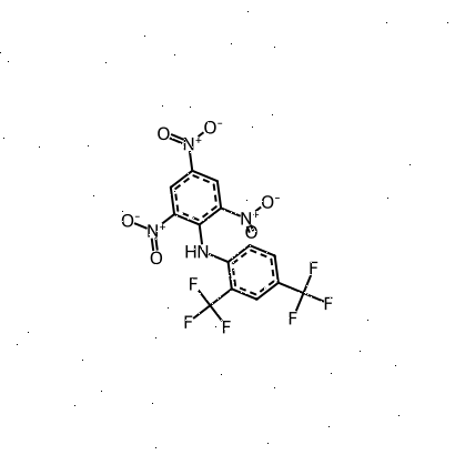 O=[N+]([O-])c1cc([N+](=O)[O-])c(Nc2ccc(C(F)(F)F)cc2C(F)(F)F)c([N+](=O)[O-])c1